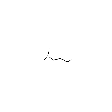 CN(Cl)CCCCl